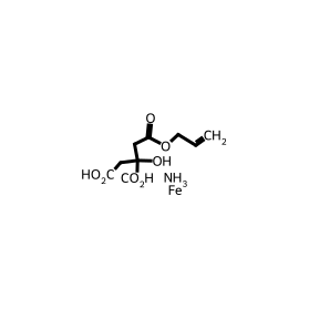 C=CCOC(=O)CC(O)(CC(=O)O)C(=O)O.N.[Fe]